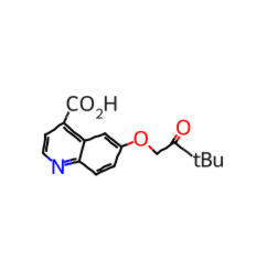 CC(C)(C)C(=O)COc1ccc2nccc(C(=O)O)c2c1